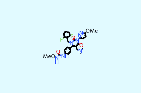 CONC(=O)Nc1ccc(-c2c(CN(C)C)c(=O)n(-c3ccc(OC)nn3)c(=O)n2Cc2c(F)cccc2F)cc1